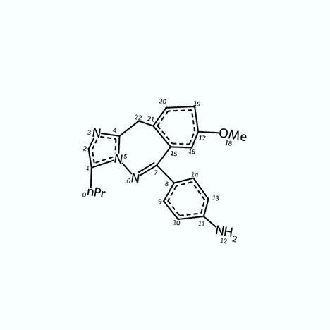 CCCc1cnc2n1N=C(c1ccc(N)cc1)c1cc(OC)ccc1C2